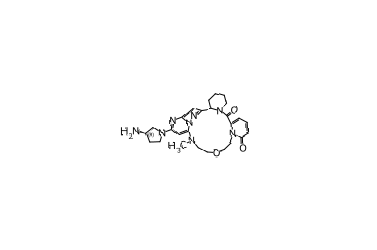 CN1CCOCCn2c(cccc2=O)C(=O)N2CCCCC2c2cc3nc(N4CC[C@@H](N)C4)cc1n3n2